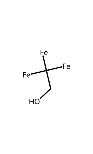 OC[C]([Fe])([Fe])[Fe]